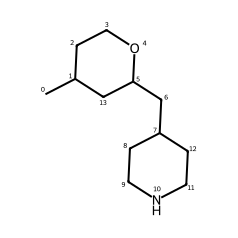 CC1CCOC(CC2CCNCC2)C1